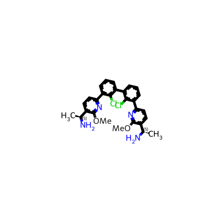 COc1nc(-c2cccc(-c3cccc(-c4ccc([C@H](C)N)c(OC)n4)c3Cl)c2Cl)ccc1[C@H](C)N